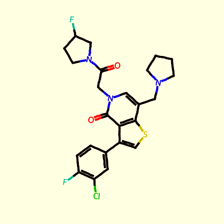 O=C(Cn1cc(CN2CCCC2)c2scc(-c3ccc(F)c(Cl)c3)c2c1=O)N1CCC(F)C1